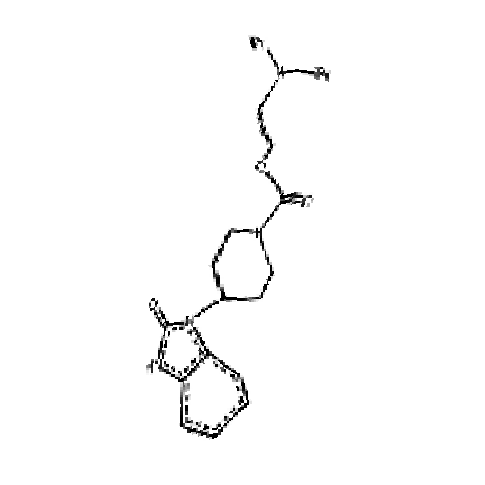 CC(C)N(CCOC(=O)N1CCC(n2c(=O)[nH]c3ccccc32)CC1)C(C)C